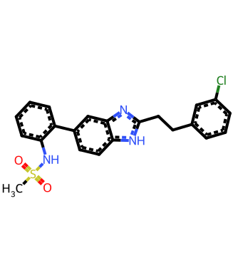 CS(=O)(=O)Nc1ccccc1-c1ccc2[nH]c(CCc3cccc(Cl)c3)nc2c1